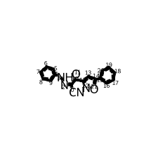 N#CC(=NNc1ccccc1)C(=O)c1cc(-c2ccccc2)on1